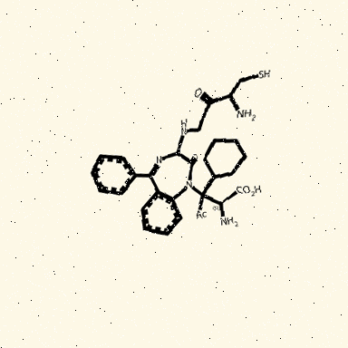 CC(=O)C(C1CCCCC1)([C@H](N)C(=O)O)N1C(=O)C(NCC(=O)C(N)CS)N=C(c2ccccc2)c2ccccc21